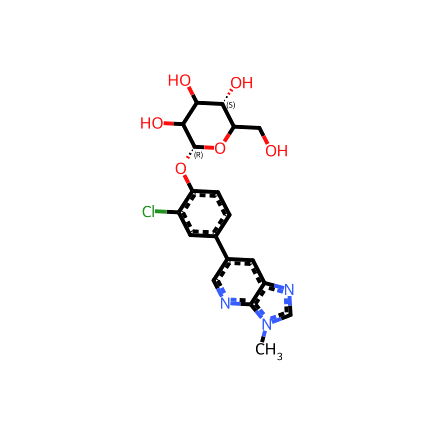 Cn1cnc2cc(-c3ccc(O[C@H]4OC(CO)[C@@H](O)C(O)C4O)c(Cl)c3)cnc21